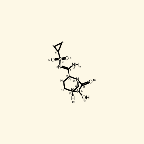 NC(=NS(=O)(=O)C1CC1)[C@@H]1CC[C@@H]2CN1C(=O)N2O